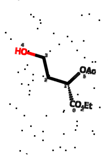 CCOC(=O)[C@H](CCO)OC(C)=O